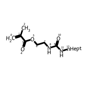 C=C(C)C(=O)OCCNC(=O)NCCCCCCC